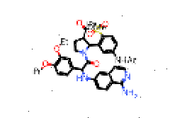 CCOc1cc(C(Nc2ccc3c(N)nccc3c2)C(=O)N2CC[C@@H](C(=O)OC)C2c2cc(NC(C)=O)ccc2S(=O)(=O)C(C)C)ccc1OC(C)C